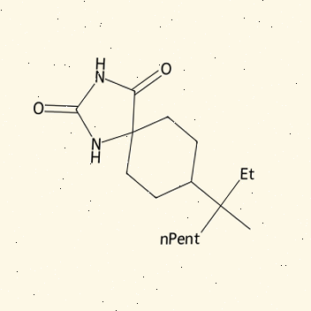 CCCCCC(C)(CC)C1CCC2(CC1)NC(=O)NC2=O